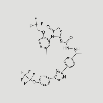 Cc1ccc(OCC(F)(F)F)c(N2C(=O)CS/C2=N\C(=O)NNC(C)c2ccc(-c3ncn(-c4ccc(OC(F)(F)C(F)(F)F)cc4)n3)cc2)c1